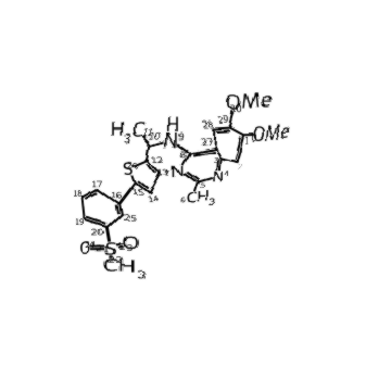 COc1cc2nc(C)nc(NC(C)c3ccc(-c4cccc(S(C)(=O)=O)c4)s3)c2cc1OC